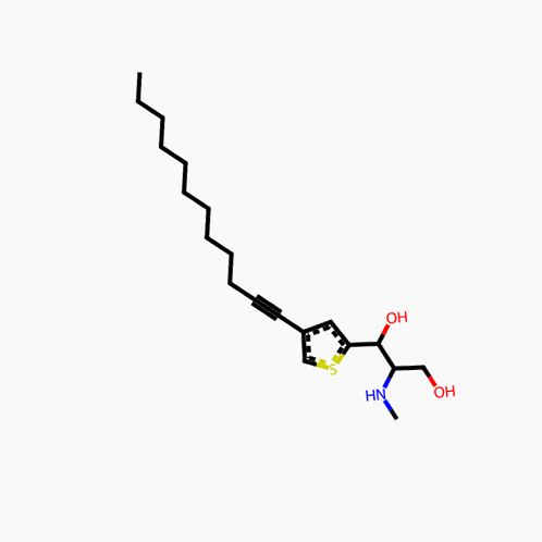 CCCCCCCCCCC#Cc1csc(C(O)C(CO)NC)c1